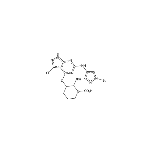 CCn1cc(Nc2nc(OC3CCCN(C(=O)O)C3C(C)(C)C)c3c(Cl)n[nH]c3n2)cn1